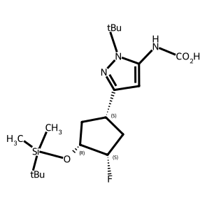 CC(C)(C)n1nc([C@@H]2C[C@H](F)[C@H](O[Si](C)(C)C(C)(C)C)C2)cc1NC(=O)O